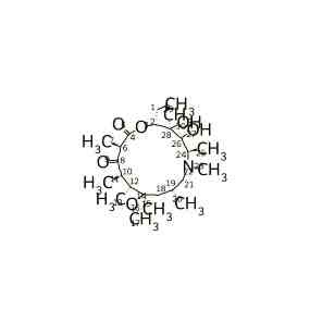 CC[C@H]1OC(=O)[C@H](C)C(=O)[C@H](C)[C@@H](C)[C@](C)(OC)C[C@@H](C)CN(C)[C@H](C)C(O)[C@]1(C)O